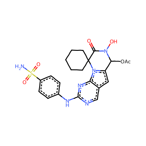 CC(=O)OC1c2cc3cnc(Nc4ccc(S(N)(=O)=O)cc4)nc3n2C2(CCCCC2)C(=O)N1O